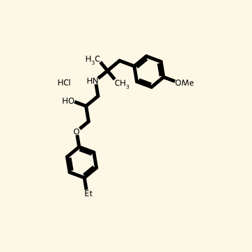 CCc1ccc(OCC(O)CNC(C)(C)Cc2ccc(OC)cc2)cc1.Cl